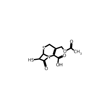 CC(=O)OCC1=C(C(=O)O)N2C(=O)C(S)C2SC1